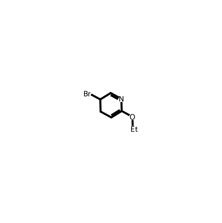 CCOC1=CCC(Br)C=N1